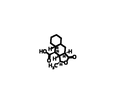 C[C@H]1OC(=O)[C@@H]2CC3CCCC[C@H]3[C@H](C(=O)O)[C@H]12